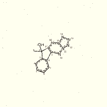 CC1(O)c2ccccc2-c2nn3nnnc3nc21